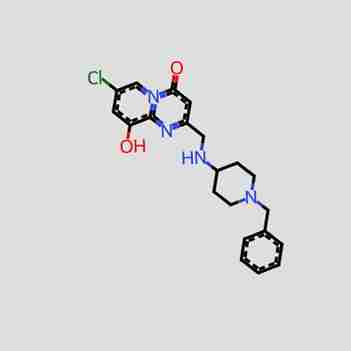 O=c1cc(CNC2CCN(Cc3ccccc3)CC2)nc2c(O)cc(Cl)cn12